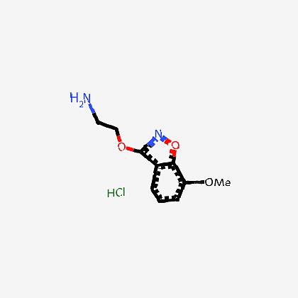 COc1cccc2c(OCCN)noc12.Cl